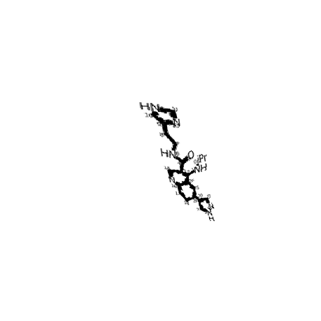 CC(C)Nc1c(C(=O)NCCc2c[nH]cn2)cnc2ccc(-c3cn[nH]c3)cc12